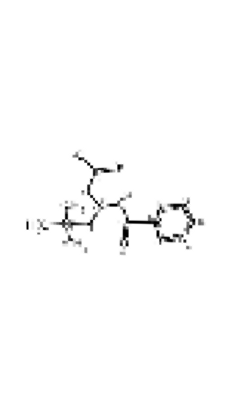 C[N+](C)(C)C[C@@H](CC(=O)[O-])OC(=O)c1cccnc1